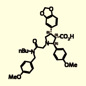 CCCCN(Cc1ccc(OC)cc1)C(=O)CN1C[C@H](c2ccc3c(c2)OCO3)[C@H](C(=O)O)[C@H]1c1ccc(OC)cc1